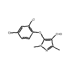 Cc1nn(C)c(Oc2ccc(Cl)cc2Cl)c1C=O